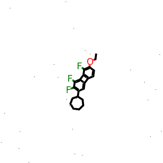 CCOc1ccc2c(c1F)-c1c-2cc(C2CCCCCC2)c(F)c1F